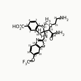 CN1c2ccc(C(=O)O)cc2NC1(Nc1nc2ccc(OC(F)(F)F)cc2s1)C(OCCN)C(N)=O